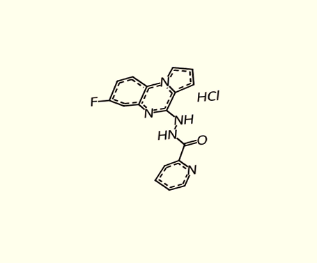 Cl.O=C(NNc1nc2cc(F)ccc2n2cccc12)c1ccccn1